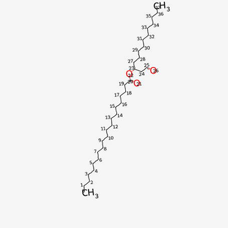 CCCCCCCCCCCCCCCCCCCCC(=O)OC(CC=O)CCCCCCCCCCC